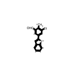 CCc1cc(-c2cc3ccccc3s2)cc(C=O)c1C